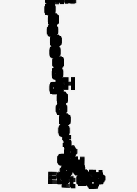 CCN(CC)c1ccc(NC(=O)c2cccc(CSCCOCCOCCOCCOCCC(=O)NCCOCCOCCOCCOCCOCCOCCOCCOC)c2)c(-c2cc(C(=O)N[C@H]3CCCc4ccccc43)ccn2)c1